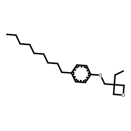 CCCCCCCCCc1ccc(OCC2(CC)COC2)cc1